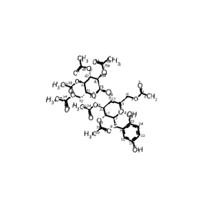 CC(=O)OC[C@H]1O[C@@H](Sc2cc(O)ccc2O)[C@H](OC(C)=O)[C@@H](OC(C)=O)[C@@H]1O[C@H]1O[C@H](COC(C)=O)[C@@H](OC(C)=O)[C@H](OC(C)=O)[C@H]1OC(C)=O